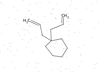 C=C[CH]C1(CC=C)CCCCC1